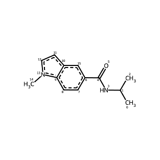 CC(C)NC(=O)c1ccc2c(ccn2C)c1